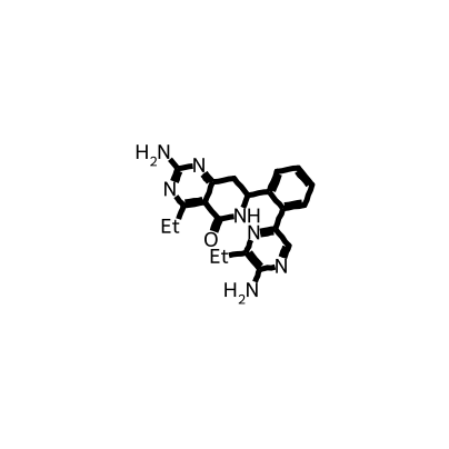 CCc1nc(-c2ccccc2C2Cc3nc(N)nc(CC)c3C(=O)N2)cnc1N